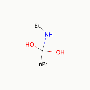 CCCC(O)(O)NCC